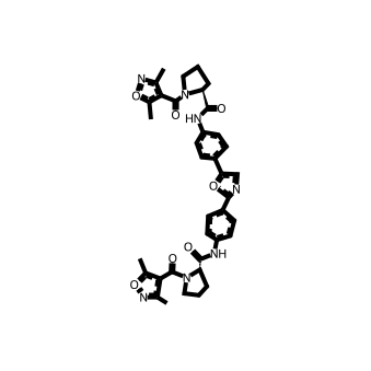 Cc1noc(C)c1C(=O)N1CCC[C@H]1C(=O)Nc1ccc(-c2cnc(-c3ccc(NC(=O)[C@@H]4CCCN4C(=O)c4c(C)noc4C)cc3)o2)cc1